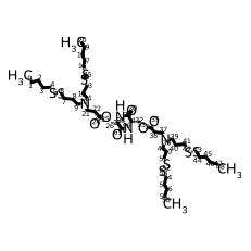 CCCCCSSCCCN(CCCSSCCCCC)CCC(=O)OC[C@@H]1NC(=O)[C@H](COC(=O)CCN(CCCSSCCCCC)CCCSSCCCCC)NC1=O